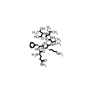 CC(C)[C@H](NC(=O)[C@H](CCCCN)NC(=O)[C@H](Cc1ccccc1)NC(=O)[C@@H](N)CCC(N)=O)C(=O)N[C@H](C(=O)N[C@H](C(=O)O)[C@@H](C)O)C(C)C